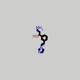 NCCC(O)c1cccc(/C=C/n2ccnc2)c1